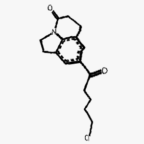 O=C(CCCCCl)c1cc2c3c(c1)CCN3C(=O)CC2